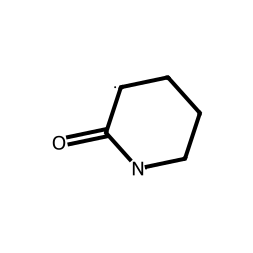 O=C1[CH]CCC[N]1